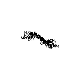 CC[C@H](NC(=O)OC)C(=O)N1[C@H](c2ncc(-c3ccc(-c4ccc(-c5[nH]c([C@@H]6C[C@@H](C)[C@H](C)N6C(=O)[C@H](CC)NC(=O)OC)nc5Cl)cc4)cc3)[nH]2)C[C@@H](C)[C@@H]1C